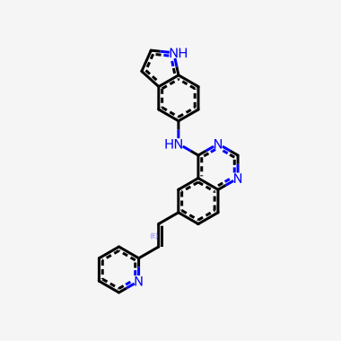 C(=C\c1ccccn1)/c1ccc2ncnc(Nc3ccc4[nH]ccc4c3)c2c1